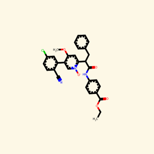 CCOC(=O)c1ccc(NC(=O)C(Cc2ccccc2)c2cc(OC)c(-c3cc(Cl)ccc3C#N)c[n+]2[O-])cc1